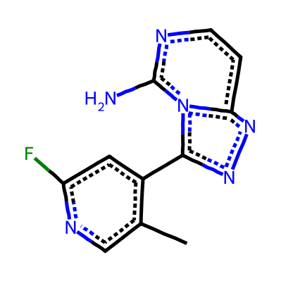 Cc1cnc(F)cc1-c1nnc2ccnc(N)n12